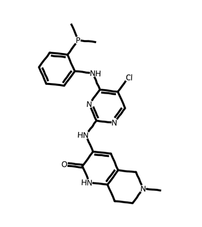 CN1CCc2[nH]c(=O)c(Nc3ncc(Cl)c(Nc4ccccc4P(C)C)n3)cc2C1